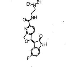 CCN(CC)CCNC(=O)c1ccc2c(n1)COC2=C1C(=O)Nc2ccc(F)cc21